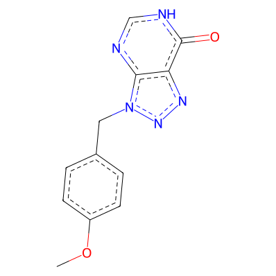 COc1ccc(Cn2nnc3c(=O)[nH]cnc32)cc1